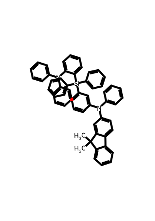 CC1(C)c2ccccc2-c2ccc(N(c3ccccc3)c3cccc([Si](c4ccccc4)(c4ccccc4)c4ccccc4N(c4ccccc4)c4ccccc4)c3)cc21